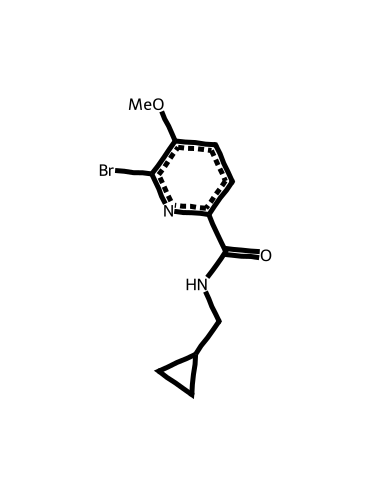 COc1ccc(C(=O)NCC2CC2)nc1Br